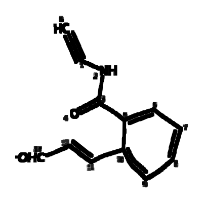 C#CNC(=O)c1ccccc1/C=C/[C]=O